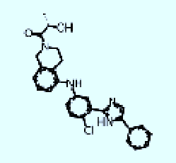 C[C@H](O)C(=O)N1CCc2c(cccc2Nc2ccc(Cl)c(-c3ncc(-c4ccccc4)[nH]3)c2)C1